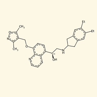 CCc1cc2c(cc1CC)CC(NC[C@@H](O)c1ccc(OCc3c(C)noc3C)c3ncccc13)C2